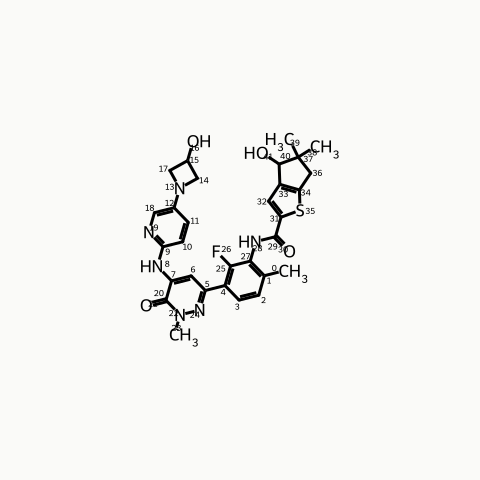 Cc1ccc(-c2cc(Nc3ccc(N4CC(O)C4)cn3)c(=O)n(C)n2)c(F)c1NC(=O)c1cc2c(s1)CC(C)(C)C2O